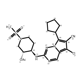 CC(=O)O[C@@H]1CN(S(C)(=O)=O)CC[C@H]1Nc1ncc2c(Cl)c(C#N)c(C3CCCC3)n2n1